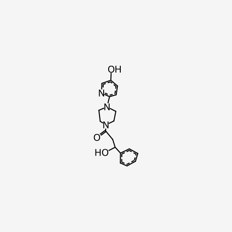 O=C(CC(O)c1ccccc1)N1CCN(c2ccc(O)cn2)CC1